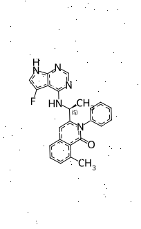 Cc1cccc2cc([C@H](C)Nc3ncnc4[nH]cc(F)c34)n(-c3ccccc3)c(=O)c12